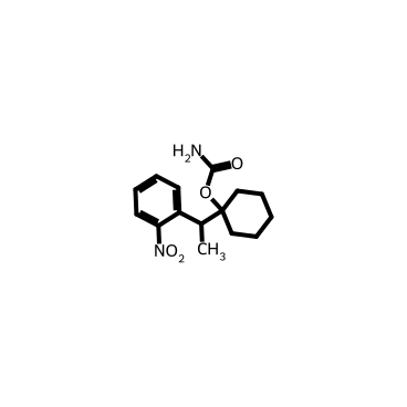 CC(c1ccccc1[N+](=O)[O-])C1(OC(N)=O)CCCCC1